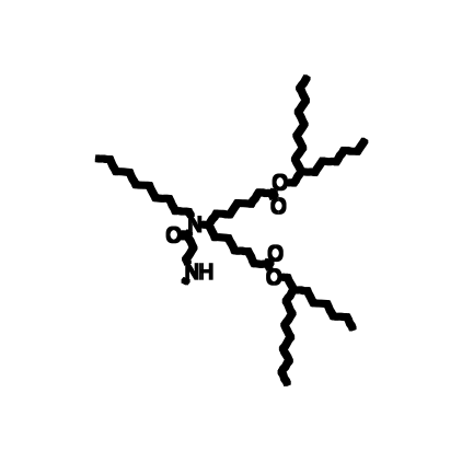 CCCCCCCCCCN(C(=O)CCNC)C(CCCCCC(=O)OCC(CCCCCC)CCCCCCCC)CCCCCC(=O)OCC(CCCCCC)CCCCCCCC